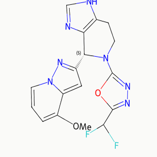 COc1cccn2nc([C@@H]3c4nc[nH]c4CCN3c3nnc(C(F)F)o3)cc12